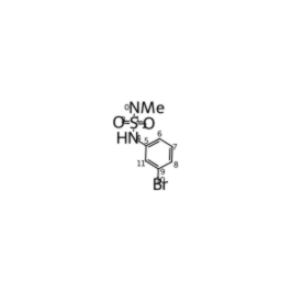 CNS(=O)(=O)Nc1cccc(Br)c1